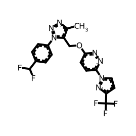 Cc1nnn(-c2ccc(C(F)F)cc2)c1COc1ccc(-n2ccc(C(F)(F)F)n2)nn1